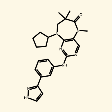 CN1C(=O)C(C)(C)CN(C2CCCC2)c2nc(Nc3cccc(-c4cc[nH]n4)c3)ncc21